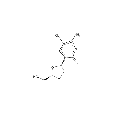 Nc1nc(=O)n([C@H]2CC[C@@H](CO)O2)cc1Cl